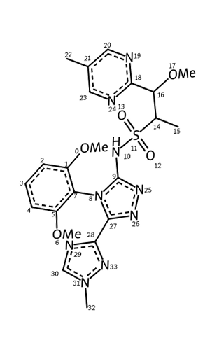 COc1cccc(OC)c1-n1c(NS(=O)(=O)C(C)C(OC)c2ncc(C)cn2)nnc1-c1ncn(C)n1